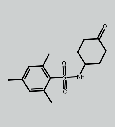 Cc1cc(C)c(S(=O)(=O)NC2CCC(=O)CC2)c(C)c1